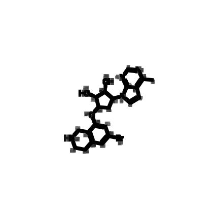 Cc1ncnc2c1ccn2C1CC(Oc2cc(Br)cc3c2CNCC3)[C@@H](O)[C@H]1O